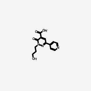 O=C(O)c1cc(-c2ccncc2)nn(CCCO)c1=O